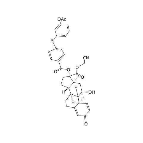 CC(=O)Oc1cccc(Sc2ccc(C(=O)O[C@@]3(C(=O)OCC#N)CC[C@H]4[C@@H]5CCC6=CC(=O)C=C[C@]6(C)C5(F)[C@@H](O)C[C@@]43C)cc2)c1